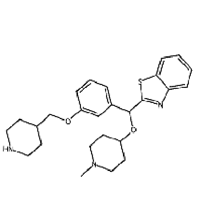 CN1CCC(OC(c2cccc(OCC3CCNCC3)c2)c2nc3ccccc3s2)CC1